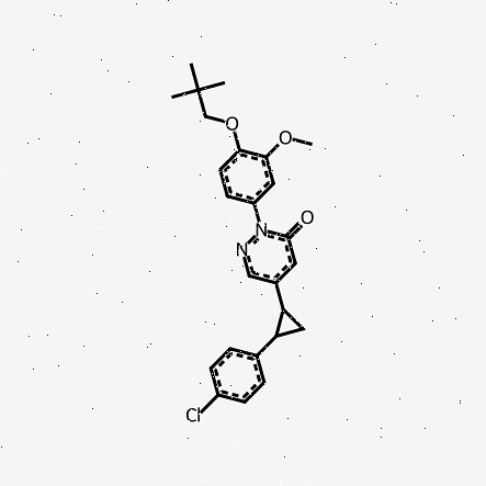 COc1cc(-n2ncc(C3CC3c3ccc(Cl)cc3)cc2=O)ccc1OCC(C)(C)C